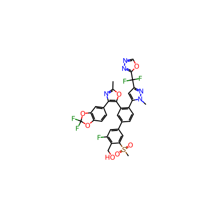 Cc1nc(-c2ccc3c(c2)OC(F)(F)O3)c(-c2cc(-c3cc(F)c(CO)c(S(C)(=O)=O)c3)ccc2-c2cc(C(F)(F)c3nnco3)nn2C)o1